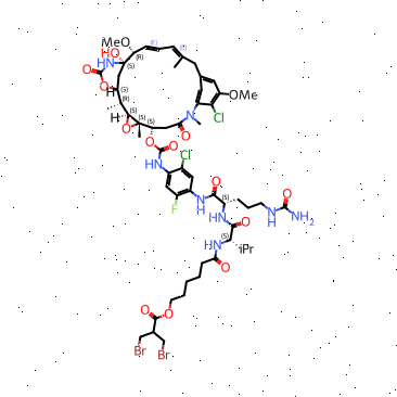 COc1cc2cc(c1Cl)N(C)C(=O)C[C@H](OC(=O)Nc1cc(F)c(NC(=O)[C@H](CCCNC(N)=O)NC(=O)[C@@H](NC(=O)CCCCCOC(=O)C(CBr)CBr)C(C)C)cc1Cl)[C@]1(C)O[C@H]1[C@H](C)[C@@H]1C[C@@](O)(NC(=O)O1)[C@H](OC)/C=C/C=C(\C)C2